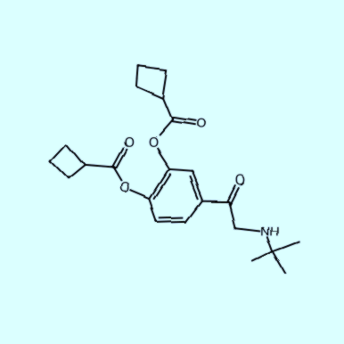 CC(C)(C)NCC(=O)c1ccc(OC(=O)C2CCC2)c(OC(=O)C2CCC2)c1